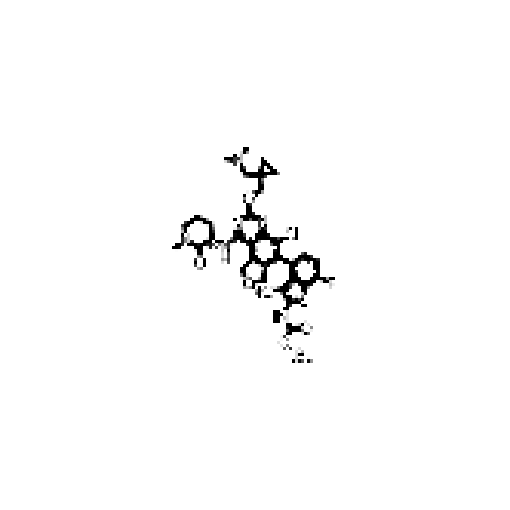 CN(C)CC1(COc2nc(N[C@@H]3CCCN(C)C3=O)c3c4c(c(-c5ccc(F)c6sc(NC(=O)OC(C)(C)C)c(C#N)c56)c(Cl)c3n2)COC4)CC1